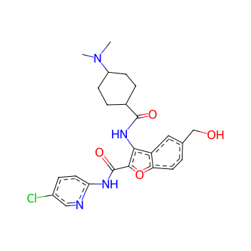 CN(C)C1CCC(C(=O)Nc2c(C(=O)Nc3ccc(Cl)cn3)oc3ccc(CO)cc23)CC1